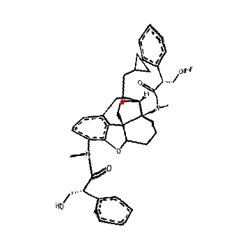 CN(C(=O)[C@@H](CO)c1ccccc1)c1ccc2c3c1OC1CCC[C@@]4(N(C)C(=O)[C@@H](CO)c5ccccc5)[C@@H](C2)N(CC2CC2)CC[C@]314